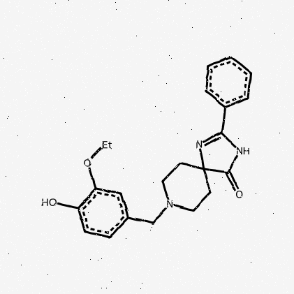 CCOc1cc(CN2CCC3(CC2)N=C(c2ccccc2)NC3=O)ccc1O